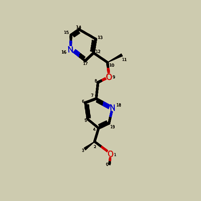 CO[C@@H](C)c1ccc(CO[C@H](C)c2cccnc2)nc1